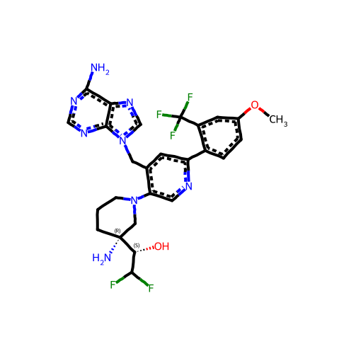 COc1ccc(-c2cc(Cn3cnc4c(N)ncnc43)c(N3CCC[C@](N)([C@H](O)C(F)F)C3)cn2)c(C(F)(F)F)c1